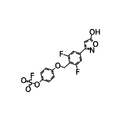 O=S(=O)(F)Oc1ccc(OCc2c(F)cc(-c3cc(O)on3)cc2F)cc1